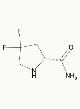 NC(=O)[C@H]1CC(F)(F)CN1